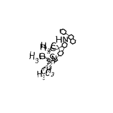 CCC[CH2][Sn]([CH2]CCC)([CH2]CCC)[c]1ccc(-c2ccc3c(c2)C(CC)(CC)c2cc(Nc4c(-c5ccccc5)ccc5ccccc45)ccc2-3)n1C